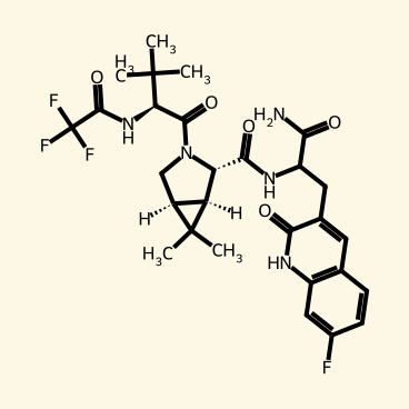 CC(C)(C)[C@H](NC(=O)C(F)(F)F)C(=O)N1C[C@H]2[C@@H]([C@H]1C(=O)NC(Cc1cc3ccc(F)cc3[nH]c1=O)C(N)=O)C2(C)C